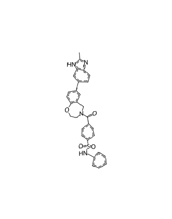 Cc1nc2ccc(-c3ccc4c(c3)CN(C(=O)c3ccc(S(=O)(=O)Nc5ccccc5)cc3)CCO4)cc2[nH]1